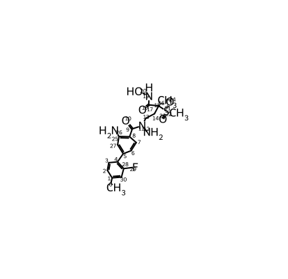 Cc1ccc(-c2ccc(C(=O)N(N)CCC(C)(C(=O)NO)S(C)(=O)=O)c(N)c2)c(F)c1